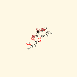 CC(=O)CC(=O)OC(C=C(C)C)C(Br)(Br)Br